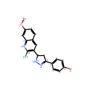 CCOc1ccc2cc(C3CC(c4ccc(Br)cc4)=NN3)c(Cl)nc2c1